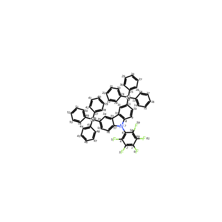 Fc1c(F)c(F)c(-n2c3ccc([Si](c4ccccc4)(c4ccccc4)c4ccccc4)cc3c3cc([Si](c4ccccc4)(c4ccccc4)c4ccccc4)ccc32)c(F)c1F